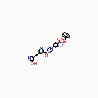 O=C(NS(=O)(=O)CC12CC3CC(CC(C3)C1)C2)c1ccc(N2CCN(C(=O)c3cncc(C#Cc4cncc(O)c4)c3)CC2)cc1